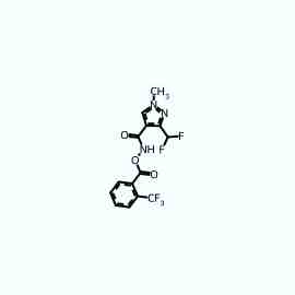 Cn1cc(C(=O)NOC(=O)c2ccccc2C(F)(F)F)c(C(F)F)n1